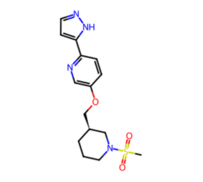 CS(=O)(=O)N1CCC[C@@H](COc2ccc(-c3ccn[nH]3)nc2)C1